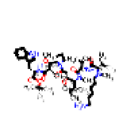 CC[C@H](C)[C@@H]([C@@H](CC(=O)N1CCC[C@H]1[C@H](OC)[C@@H](C)C(=O)N[C@@H](Cc1c[nH]c2ccccc12)C(=O)OC(C)(C)C)OC)N(C)C(=O)[C@@H](NC(=O)[C@H](C(C)C)N(C)CCCCCCN)C(C)C